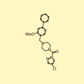 COc1cc(-c2ccccc2)ccc1CN1CCN(C(=O)n2cc(Cl)cn2)CC1